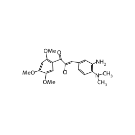 COc1cc(OC)c(C(=O)C(Cl)=Cc2ccc(N(C)C)c(N)c2)cc1OC